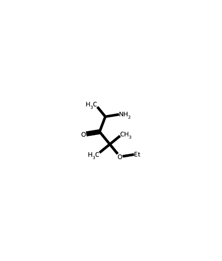 CCOC(C)(C)C(=O)C(C)N